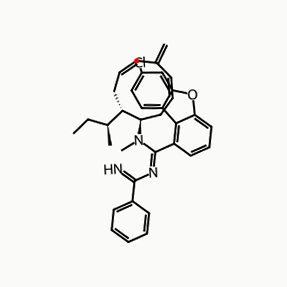 C=C1/C=C\C[C@@H]([C@@H](C)CC)[C@H](N(C)/C(=N\C(=N)c2ccccc2)c2cccc3oc4cc(Cl)ccc4c23)C/C=C\1